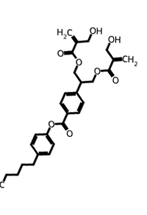 C=C(CO)C(=O)OCC(COC(=O)C(=C)CO)c1ccc(C(=O)Oc2ccc(CCCCC)cc2)cc1